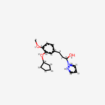 COc1ccc(CCC(O)n2cccn2)cc1OC1CCCC1